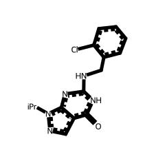 CC(C)n1ncc2c(=O)[nH]c(NCc3ccccc3Cl)nc21